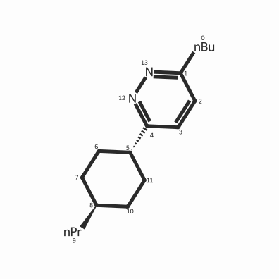 CCCCc1ccc([C@H]2CC[C@H](CCC)CC2)nn1